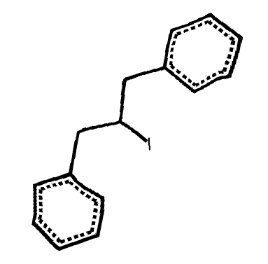 IC(Cc1ccccc1)Cc1ccccc1